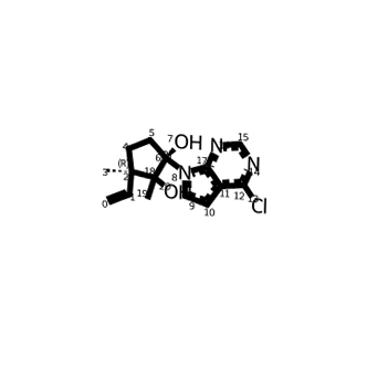 C=C[C@@]1(C)CC[C@](O)(n2ccc3c(Cl)ncnc32)C1(C)O